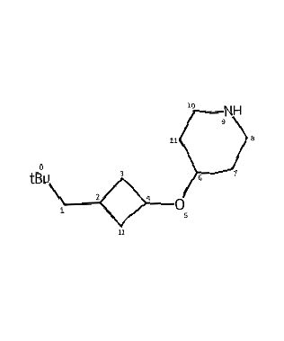 CC(C)(C)CC1CC(OC2CCNCC2)C1